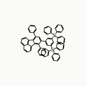 c1ccc(-c2cc(-c3cc([Si](c4ccccc4)(c4ccccc4)c4ccccc4)cc([Si](c4ccccc4)(c4ccccc4)c4ccccc4)c3)c(-c3ccccc3)c3c2-c2cccc4cccc-3c24)cc1